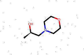 C[C@@H](O)CN1CCOCC1